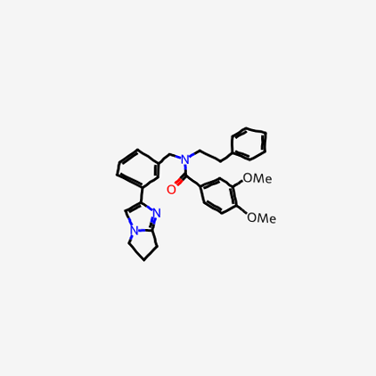 COc1ccc(C(=O)N(CCc2ccccc2)Cc2cccc(-c3cn4c(n3)CCC4)c2)cc1OC